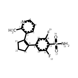 Cc1ncccc1C1=C(c2cc(F)c(S(N)(=O)=O)c(F)c2)CCC1